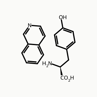 N[C@@H](Cc1ccc(O)cc1)C(=O)O.c1ccc2cnccc2c1